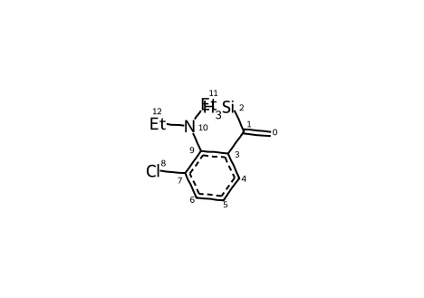 C=C([SiH3])c1cccc(Cl)c1N(CC)CC